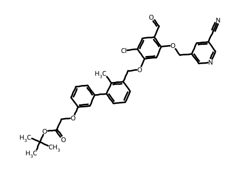 Cc1c(COc2cc(OCc3cncc(C#N)c3)c(C=O)cc2Cl)cccc1-c1cccc(OCC(=O)OC(C)(C)C)c1